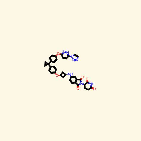 O=C1CCC(N2C(=O)c3ccc(N[C@H]4C[C@H](Oc5ccc(C6(c7ccc(Oc8ccc(-n9ccnn9)nn8)cc7)CC6)cc5)C4)cc3C2=O)C(=O)N1